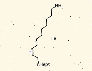 CCCCCCCC/C=C\CCCCCCCCN.[Fe]